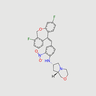 O=[N+]([O-])c1cc(/C=C2/c3ccc(F)cc3OCc3c(F)cccc32)ccc1N[C@H]1C[C@H]2COCCN2C1